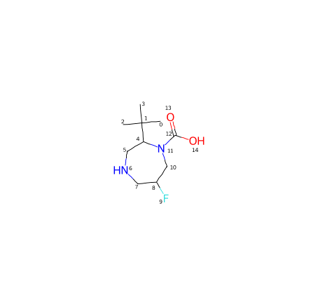 CC(C)(C)C1CNCC(F)CN1C(=O)O